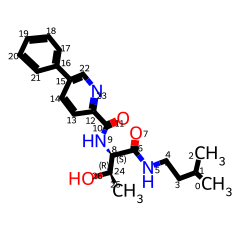 CC(C)C[CH]NC(=O)[C@@H](NC(=O)c1ccc(-c2ccccc2)cn1)[C@@H](C)O